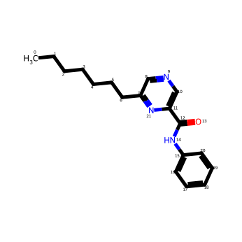 CCCCCCCc1cncc(C(=O)Nc2ccccc2)n1